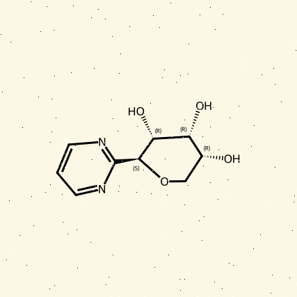 O[C@@H]1[C@H](O)[C@H](O)CO[C@H]1c1ncccn1